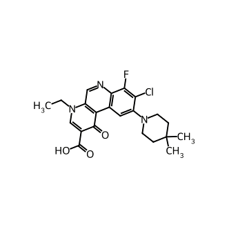 CCn1cc(C(=O)O)c(=O)c2c3cc(N4CCC(C)(C)CC4)c(Cl)c(F)c3ncc21